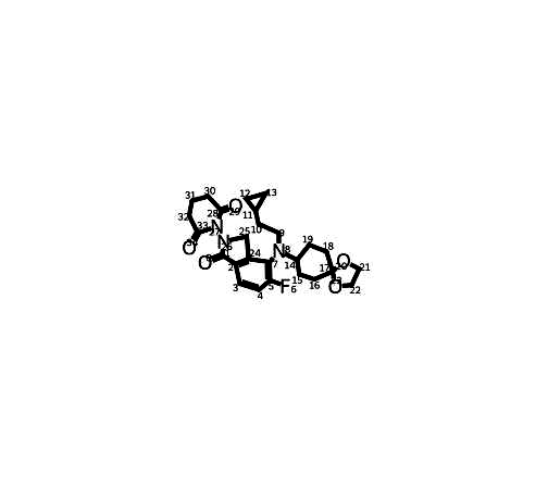 O=C1c2ccc(F)c(N(CCC3CC3)C3CCC4(CC3)OCCO4)c2CN1N1C(=O)CCCC1=O